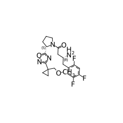 COCC1(c2noc([C@@H]3CCCN3C(=O)C[C@H](N)Cc3cc(F)c(F)cc3F)n2)CC1